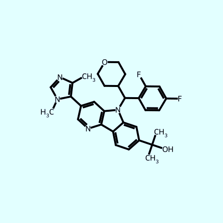 Cc1ncn(C)c1-c1cnc2c3ccc(C(C)(C)O)cc3n(C(c3ccc(F)cc3F)C3CCOCC3)c2c1